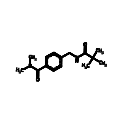 CN(C)C(=O)c1ccc(CNC(=O)C(C)(C)C)cc1